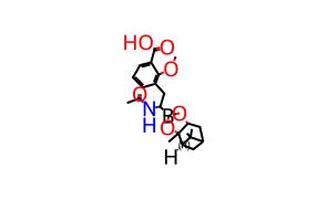 COc1c(CC(NC(C)=O)B2OC3CC4C[C@H](C4(C)C)C3(C)O2)cccc1C(=O)O